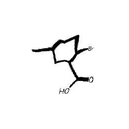 CC1CCC(Br)C(C(=O)O)C1